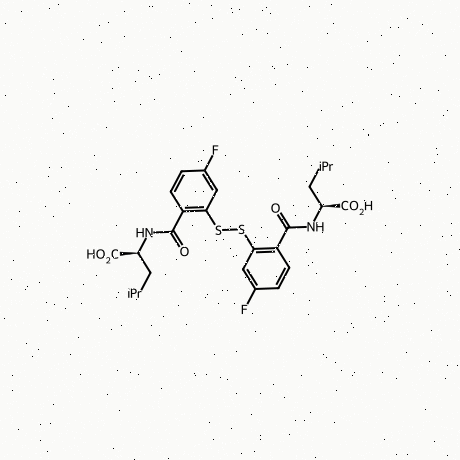 CC(C)C[C@H](NC(=O)c1ccc(F)cc1SSc1cc(F)ccc1C(=O)N[C@@H](CC(C)C)C(=O)O)C(=O)O